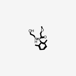 COCC(=O)N(NCCO)c1c(C)cccc1C